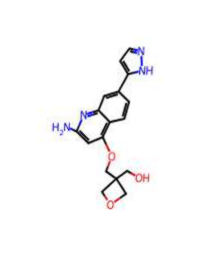 Nc1cc(OCC2(CO)COC2)c2ccc(-c3ccn[nH]3)cc2n1